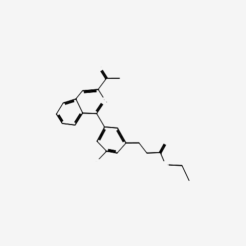 CCOC(=O)CCc1cc(F)cc(-c2nc(C(C)=O)cc3ccccc23)c1